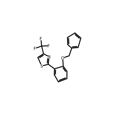 FC(F)(F)c1csc(-c2ccccc2OCc2ccccc2)n1